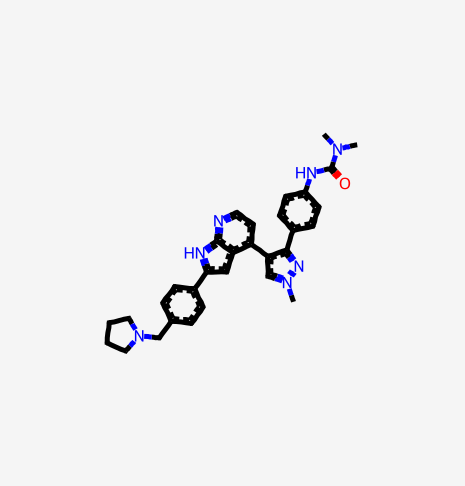 CN(C)C(=O)Nc1ccc(-c2nn(C)cc2-c2ccnc3[nH]c(-c4ccc(CN5CCCC5)cc4)cc23)cc1